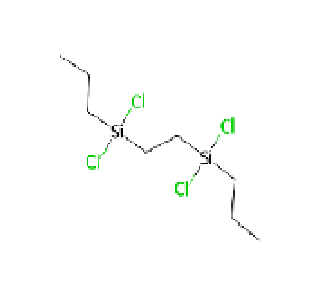 CCC[Si](Cl)(Cl)CC[Si](Cl)(Cl)CCC